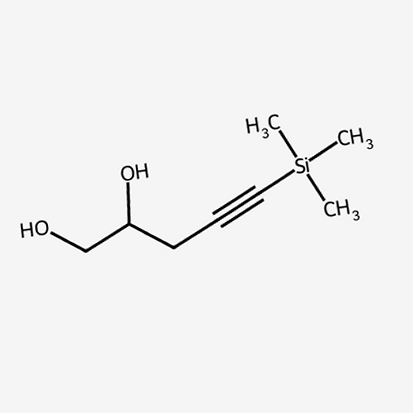 C[Si](C)(C)C#CCC(O)CO